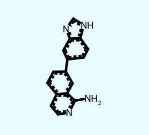 Nc1nccc2ccc(-c3ccc4[nH]cnc4c3)cc12